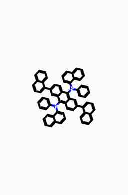 c1ccc(N(c2cccc3ccccc23)c2c3ccc(-c4cccc5ccccc45)cc3c(N(c3ccccc3)c3cccc4ccccc34)c3ccc(-c4cccc5ccccc45)cc23)cc1